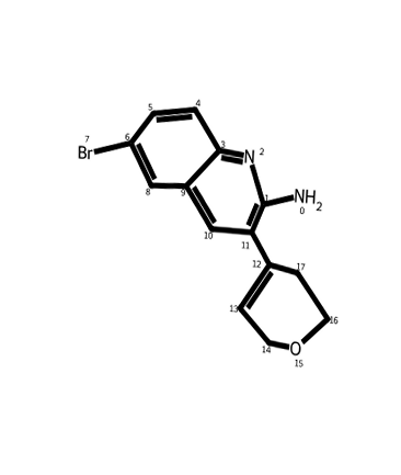 Nc1nc2ccc(Br)cc2cc1C1=CCOCC1